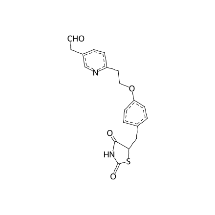 O=CCc1ccc(CCOc2ccc(CC3SC(=O)NC3=O)cc2)nc1